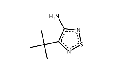 CC(C)(C)c1nsnc1N